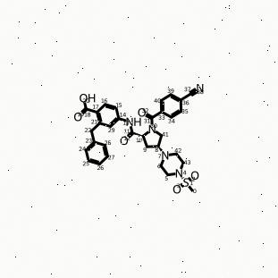 CS(=O)(=O)N1CCN([C@H]2C[C@@H](C(=O)Nc3ccc(C(=O)O)c(Cc4ccccc4)c3)N(C(=O)c3ccc(C#N)cc3)C2)CC1